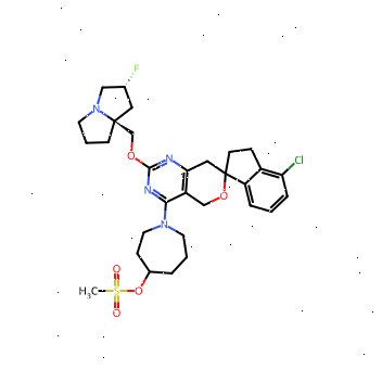 CS(=O)(=O)OC1CCCN(c2nc(OC[C@@]34CCCN3C[C@H](F)C4)nc3c2COC2(CCc4c(Cl)cccc42)C3)CC1